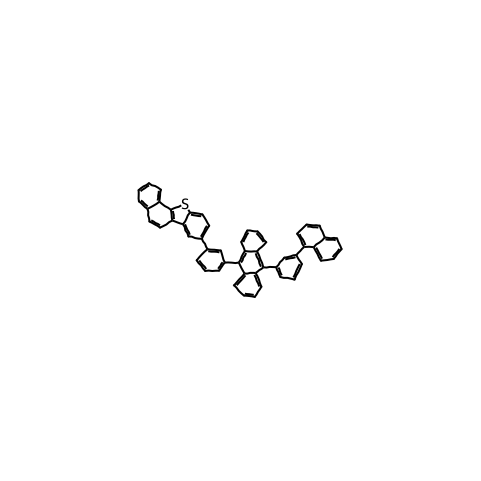 c1cc(-c2ccc3sc4c5ccccc5ccc4c3c2)cc(-c2c3ccccc3c(-c3cccc(-c4cccc5ccccc45)c3)c3ccccc23)c1